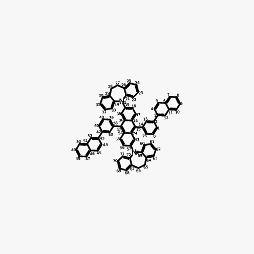 c1cc(-c2ccc3ccccc3c2)cc(-c2c3ccc(N4c5ccccc5CCc5ccccc54)cc3c(-c3cccc(-c4ccc5ccccc5c4)c3)c3ccc(N4c5ccccc5CCc5ccccc54)cc23)c1